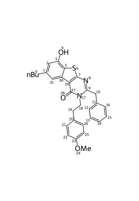 CCCCc1cc(O)c2sc3nc(Cc4ccccc4)n(CCc4ccc(OC)cc4)c(=O)c3c2c1